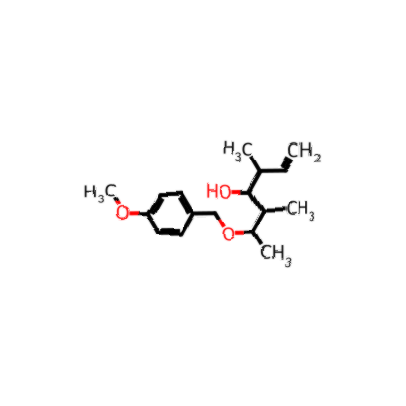 C=CC(C)C(O)C(C)C(C)OCc1ccc(OC)cc1